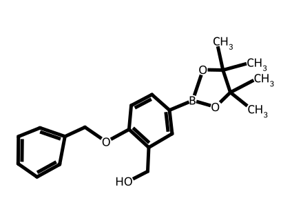 CC1(C)OB(c2ccc(OCc3ccccc3)c(CO)c2)OC1(C)C